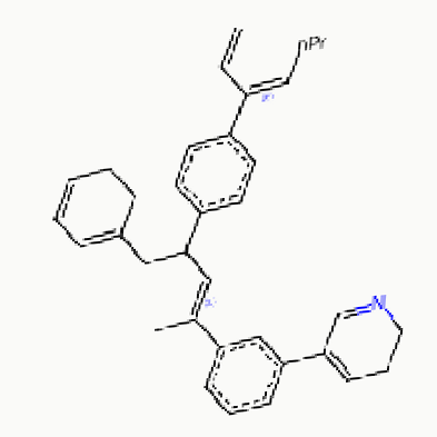 C=C/C(=C\CCC)c1ccc(C(/C=C(\C)c2cccc(C3=CCCN=C3)c2)CC2=CC=CCC2)cc1